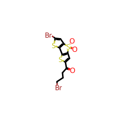 O=C(CCCBr)c1cc2c(s1)-c1sc(Br)cc1S2(=O)=O